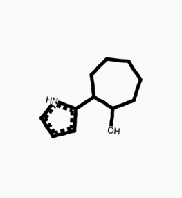 OC1CCCCCC1c1ccc[nH]1